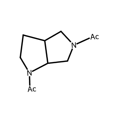 CC(=O)N1CC2CCN(C(C)=O)C2C1